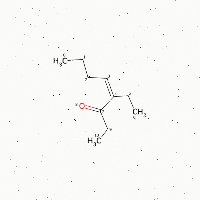 CCCC=C(CC)C(=O)CC